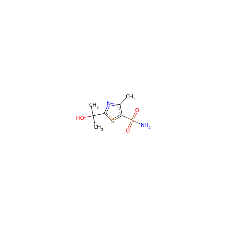 Cc1nc(C(C)(C)O)sc1S(N)(=O)=O